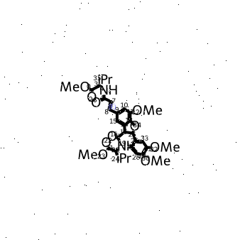 COC(=O)C(NC(=O)/C=C/c1cc(OC)c2c(c1)C(C(=O)NC(C(=O)OC)C(C)C)C(c1ccc(OC)c(OC)c1)O2)C(C)C